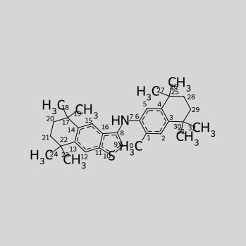 Cc1cc2c(cc1Nc1csc3cc4c(cc13)C(C)(C)CCC4(C)C)C(C)(C)CCC2(C)C